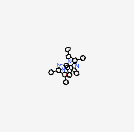 N#Cc1cc(-n2c3ccc(-c4ccccc4)cc3c3cc(-c4ccccc4)ccc32)c(-c2ccnc3c2C2(c4ccccc4-c4ccccc42)c2ccccc2-3)cc1-n1c2ccc(-c3ccccc3)cc2c2cc(-c3ccccc3)ccc21